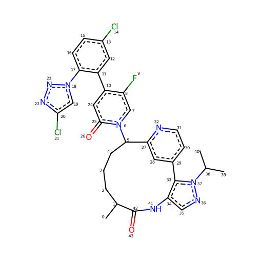 CC1CCCC(n2cc(F)c(-c3cc(Cl)ccc3-n3cc(Cl)nn3)cc2=O)c2cc(ccn2)-c2c(cnn2C(C)C)NC1=O